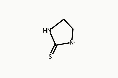 S=C1[N]CCN1